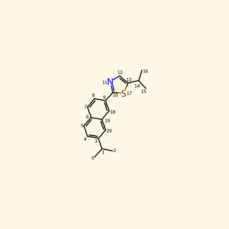 CC(C)c1ccc2ccc(-c3ncc(C(C)C)s3)cc2c1